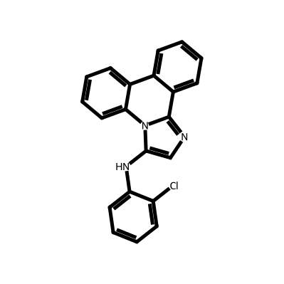 Clc1ccccc1Nc1cnc2c3ccccc3c3ccccc3n12